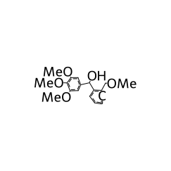 COCc1ccccc1C(O)c1cc(OC)c(OC)c(OC)c1